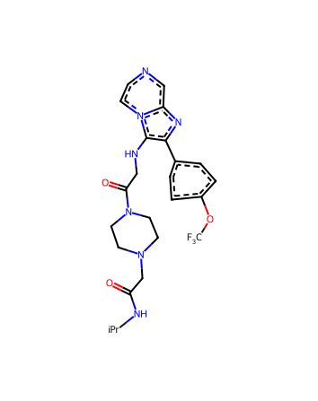 CC(C)NC(=O)CN1CCN(C(=O)CNc2c(-c3ccc(OC(F)(F)F)cc3)nc3cnccn23)CC1